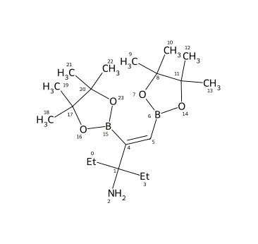 CCC(N)(CC)/C(=C/B1OC(C)(C)C(C)(C)O1)B1OC(C)(C)C(C)(C)O1